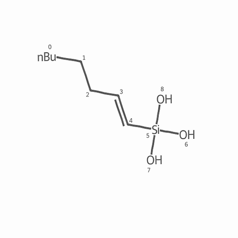 CCCCCC/C=C/[Si](O)(O)O